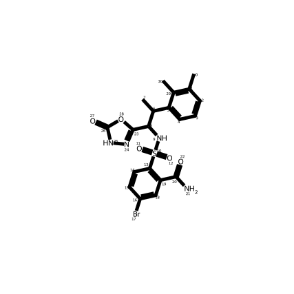 Cc1cccc(C(C)C(NS(=O)(=O)c2ccc(Br)cc2C(N)=O)c2n[nH]c(=O)o2)c1C